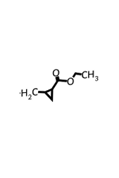 [CH2]C1CC1C(=O)OCC